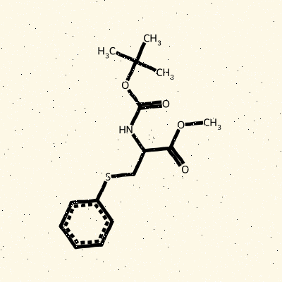 COC(=O)C(CSc1ccccc1)NC(=O)OC(C)(C)C